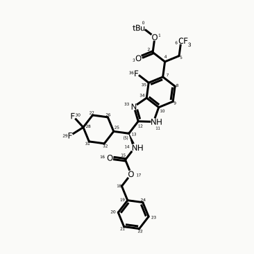 CC(C)(C)OC(=O)C(CC(F)(F)F)c1ccc2[nH]c([C@@H](NC(=O)OCc3ccccc3)C3CCC(F)(F)CC3)nc2c1F